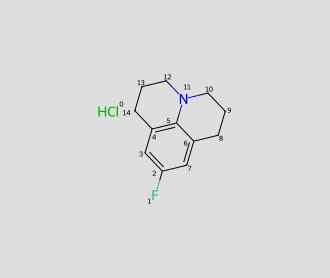 Cl.Fc1cc2c3c(c1)CCCN3CCC2